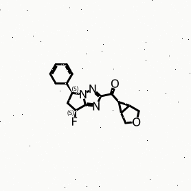 O=C(c1nc2n(n1)[C@H](C1C=CC=CC1)C[C@@H]2F)C1C2COCC21